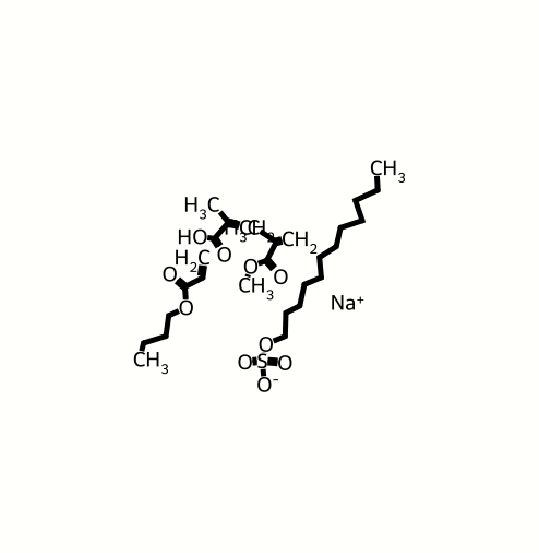 C=C(C)C(=O)O.C=C(C)C(=O)OC.C=CC(=O)OCCCC.CCCCCCCCCCCCOS(=O)(=O)[O-].[Na+]